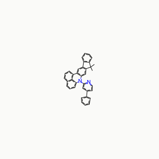 CC1(C)c2ccccc2-c2cc3c(cc21)N(c1cc(-c2ccccc2)ccn1)c1cccc2cccc-3c12